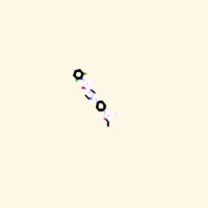 CCOC(=O)CCC(=O)Nc1ccc(N2CCN(C(=O)Nc3c(Cl)cccc3Cl)CC2)cc1